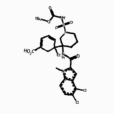 CCC1(C2(NC(=O)c3cc4c(Cl)c(Cl)ccc4n3C)CCCN(S(=O)(=O)NC(=O)OC(C)(C)C)C2)C=CC=C(C(=O)O)C1